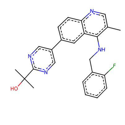 Cc1cnc2ccc(-c3cnc(C(C)(C)O)nc3)cc2c1NCc1ccccc1F